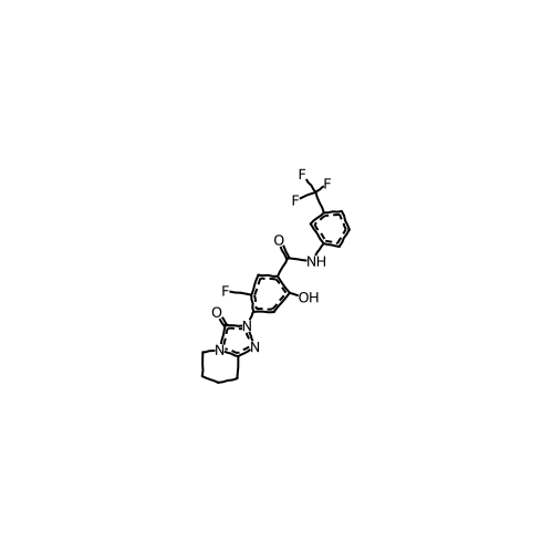 O=C(Nc1cccc(C(F)(F)F)c1)c1cc(F)c(-n2nc3n(c2=O)CCCC3)cc1O